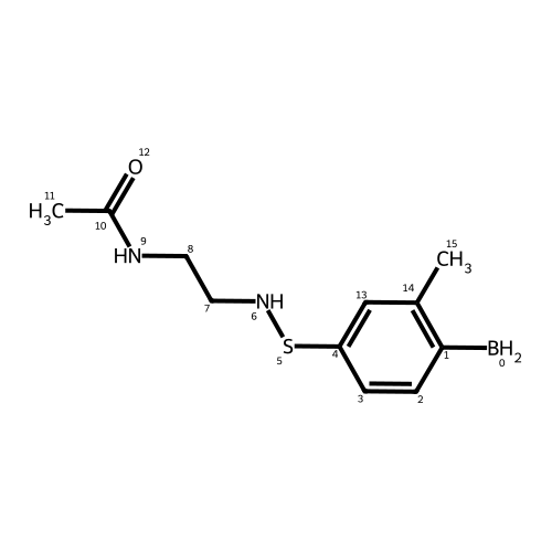 Bc1ccc(SNCCNC(C)=O)cc1C